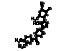 Cc1cc(C#N)c(F)cc1-c1cnn(-c2ccc(C(=O)N3CCN(C)[C@H](C)C3)cn2)c1O